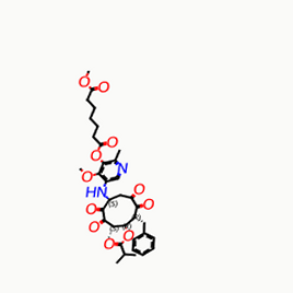 COC(=O)CCCCCC(=O)Oc1c(C)ncc(N[C@H]2CC(=O)C(=O)[C@H](Cc3ccccc3)[C@H](OC(=O)C(C)C)[C@H](C)C(=O)C2=O)c1OC